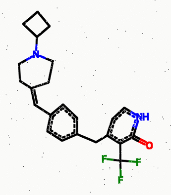 O=c1[nH]ccc(Cc2ccc(C=C3CCN(C4CCC4)CC3)cc2)c1C(F)(F)F